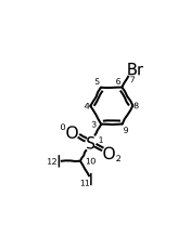 O=S(=O)(c1ccc(Br)cc1)C(I)I